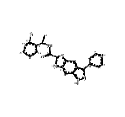 CC(NC(=O)c1nc2cc3c(-c4ccncc4)n[nH]c3cc2[nH]1)c1ccccc1Cl